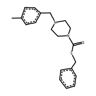 Cc1ccc(CN2CCN(C(=S)SCc3ccccc3)CC2)cc1